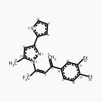 C=C(/C=C(\n1nc(-c2cccs2)cc1C)C(F)(F)F)c1ccc(CC)c(CC)c1